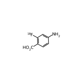 Nc1ccc(C(=O)O)c([18F])c1